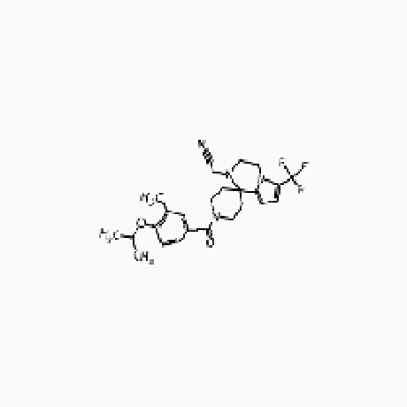 Cc1cc(C(=O)N2CCC3(CC2)c2ccc(C(F)(F)F)n2CCN3CC#N)ccc1OC(C)C